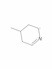 CC1C[C]N=CC1